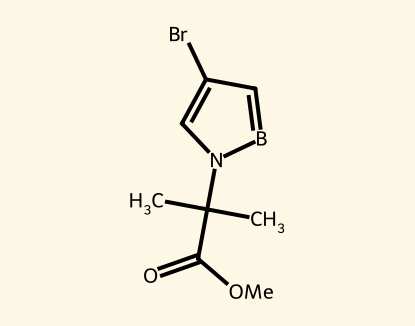 COC(=O)C(C)(C)n1bcc(Br)c1